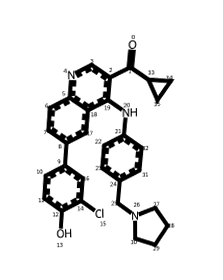 O=C(c1cnc2ccc(-c3ccc(O)c(Cl)c3)cc2c1Nc1ccc(CN2CCCC2)cc1)C1CC1